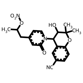 CC(Cc1ccn(C2c3cc(C#N)ccc3OC(C)(C)C2O)c(=O)c1)O[N+](=O)[O-]